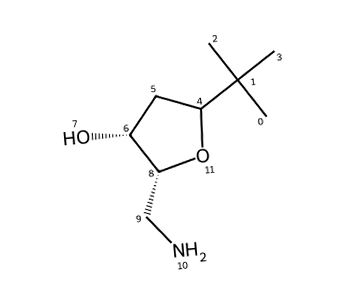 CC(C)(C)C1C[C@@H](O)[C@@H](CN)O1